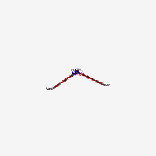 COCCOCCOCCOCCOCCOCCOCCOCCOCCOCCOCCOCCC(=O)NCCNC(=O)c1nc(C)c(C)nc1NCCNC(=O)CCOCCOCCOCCOCCOCCOCCOCCOCCOCCOCCOCCOC